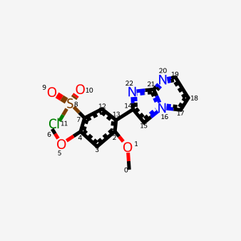 COc1cc(OC)c(S(=O)(=O)Cl)cc1-c1cn2cccnc2n1